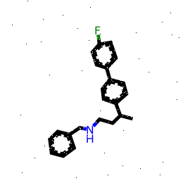 CC(CCNCc1ccccc1)c1ccc(-c2ccc(F)cc2)cc1